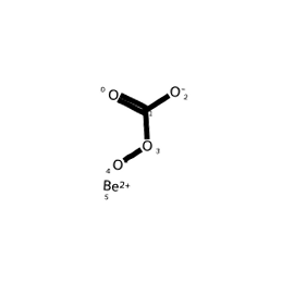 O=C([O-])O[O-].[Be+2]